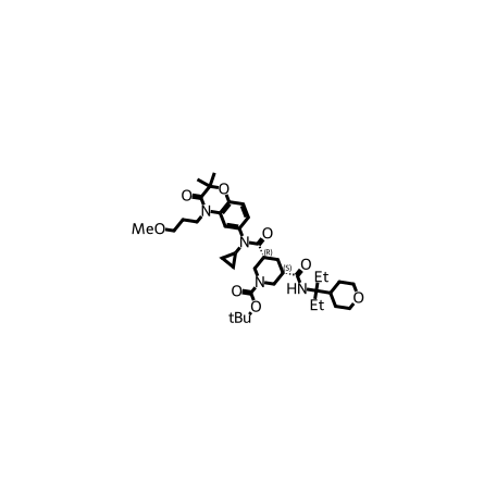 CCC(CC)(NC(=O)[C@H]1C[C@@H](C(=O)N(c2ccc3c(c2)N(CCCOC)C(=O)C(C)(C)O3)C2CC2)CN(C(=O)OC(C)(C)C)C1)C1CCOCC1